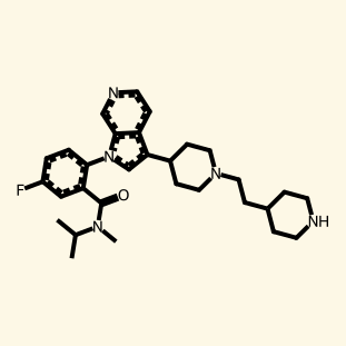 CC(C)N(C)C(=O)c1cc(F)ccc1-n1cc(C2CCN(CCC3CCNCC3)CC2)c2ccncc21